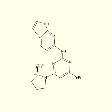 CCCc1cc(N2CCC[C@H]2C(=O)O)nc(Nc2ccc3cc[nH]c3c2)n1